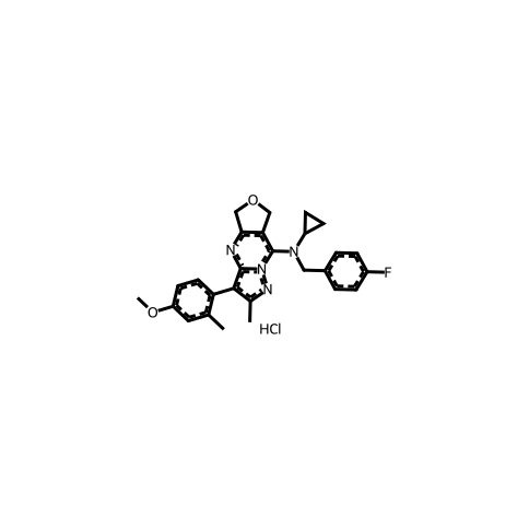 COc1ccc(-c2c(C)nn3c(N(Cc4ccc(F)cc4)C4CC4)c4c(nc23)COC4)c(C)c1.Cl